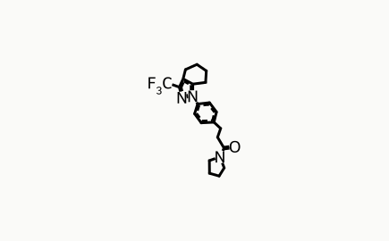 O=C(CCc1ccc(-n2nc(C(F)(F)F)c3c2CCCC3)cc1)N1CCCC1